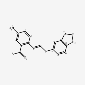 CC(=O)c1cc(N)ccc1/C=C/Cc1ccc2c(c1)OCO2